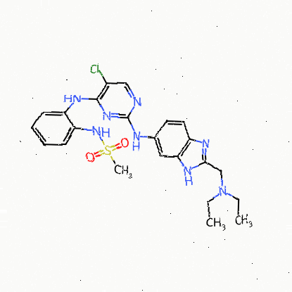 CCN(CC)Cc1nc2ccc(Nc3ncc(Cl)c(Nc4ccccc4NS(C)(=O)=O)n3)cc2[nH]1